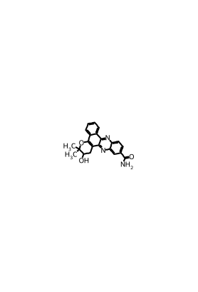 CC1(C)Oc2c(c3nc4cc(C(N)=O)ccc4nc3c3ccccc23)CC1O